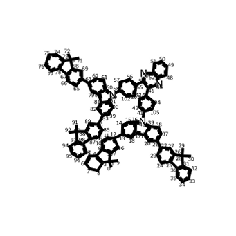 CC1(C)C2=C(C=CCC2)c2ccc(-c3ccc4c(c3)c3cc(-c5ccc6c(c5)C(C)(C)c5ccccc5-6)ccc3n4-c3ccc(-c4nc5ccccc5nc4-c4ccc(-n5c6ccc(-c7ccc8c(c7)C(C)(C)c7ccccc7-8)cc6c6cc(-c7ccc8c(c7)C(C)(C)c7ccccc7-8)ccc65)cc4)cc3)cc21